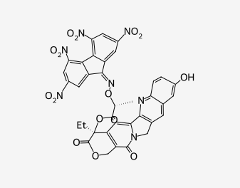 CC[C@@]1(OC(=O)[C@@H](C)ON=C2c3cc([N+](=O)[O-])cc([N+](=O)[O-])c3-c3c2cc([N+](=O)[O-])cc3[N+](=O)[O-])C(=O)OCc2c1cc1n(c2=O)Cc2cc3cc(O)ccc3nc2-1